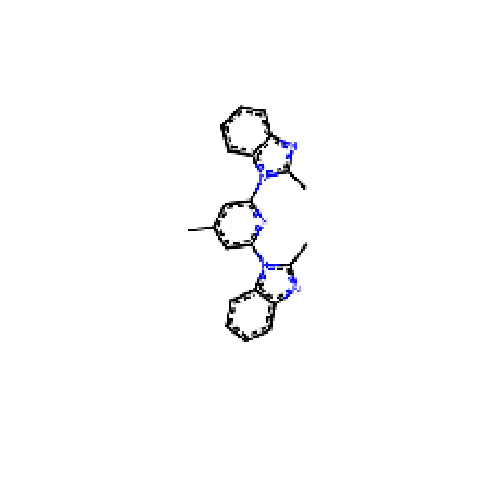 Cc1cc(-n2c(C)nc3ccccc32)nc(-n2c(C)nc3ccccc32)c1